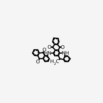 C=C1c2ccccc2Nc2c1cc(Nc1cccc3c1C(=O)c1ccccc1C3=O)c1c2C(=O)c2ccccc2C1=O